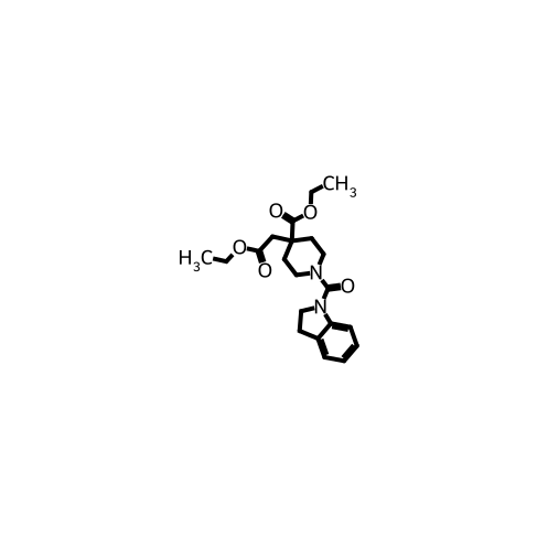 CCOC(=O)CC1(C(=O)OCC)CCN(C(=O)N2CCc3ccccc32)CC1